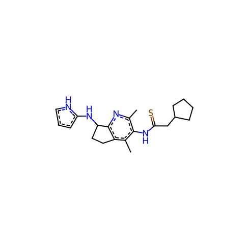 Cc1nc2c(c(C)c1NC(=S)CC1CCCC1)CCC2Nc1ccc[nH]1